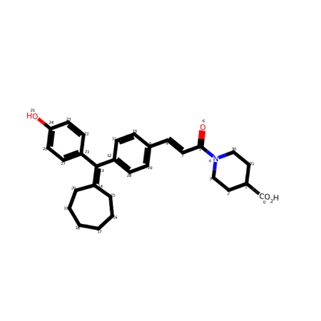 O=C(O)C1CCN(C(=O)C=Cc2ccc(C(=C3CCCCCC3)c3ccc(O)cc3)cc2)CC1